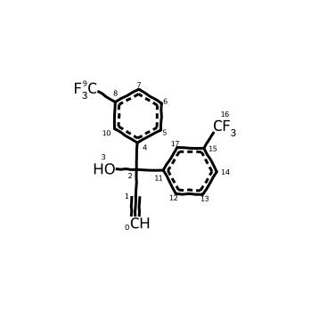 C#CC(O)(c1cccc(C(F)(F)F)c1)c1cccc(C(F)(F)F)c1